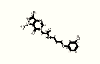 CCc1nn(C)c2c(=O)n(CC(=O)NCCCOc3cccc(Cl)c3)cnc12